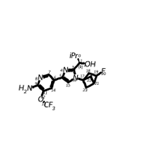 CC(C)[C@@H](O)c1nc(-c2cnc(N)c(OC(F)(F)F)c2)cn1C12CC(F)C(C1)C2